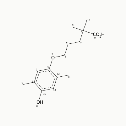 Cc1cc(OCCCC(C)(C)C(=O)O)c(C)cc1O